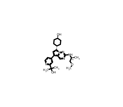 COC[C@H](C)Nc1ncc2c(-c3ccnc(C(C)(C)O)c3)cc([C@H]3CC[C@H](O)CC3)n2n1